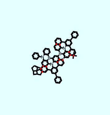 CC(C)(C)c1cc2c3c(c1)N(c1c(-c4ccccc4)cc(-c4ccccc4)cc1-c1ccccc1)c1ccccc1B3c1cc3c(cc1S2)N(c1c(-c2ccccc2)cc(-c2ccccc2)cc1-c1ccccc1)c1cc(N2C4CC5CC6CC2CC56C4)cc2c1B3c1ccccc1N2c1ccccc1